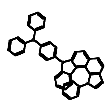 c1ccc(B(c2ccccc2)c2ccc(-n3c4ccccc4c4c5c(ccc6ccn(-c7ccccc7)c65)ccc43)cc2)cc1